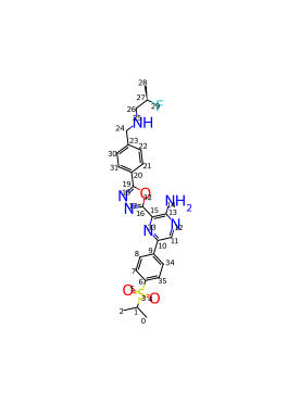 CC(C)S(=O)(=O)c1ccc(-c2cnc(N)c(-c3nnc(-c4ccc(CNC[C@@H](C)F)cc4)o3)n2)cc1